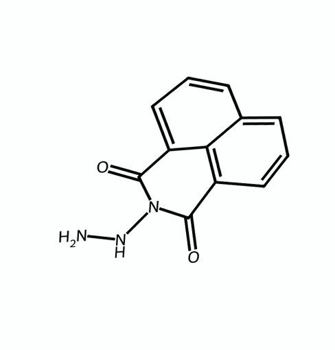 NNN1C(=O)c2cccc3cccc(c23)C1=O